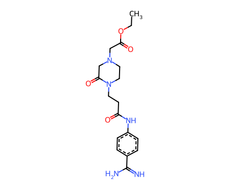 CCOC(=O)CN1CCN(CCC(=O)Nc2ccc(C(=N)N)cc2)C(=O)C1